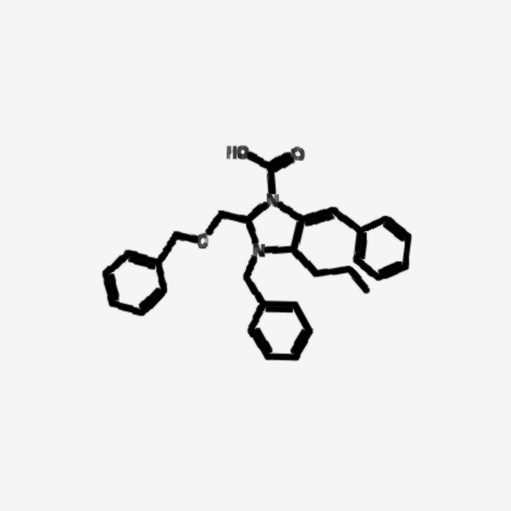 CCCC1C(=Cc2ccccc2)N(C(=O)O)C(COCc2ccccc2)N1Cc1ccccc1